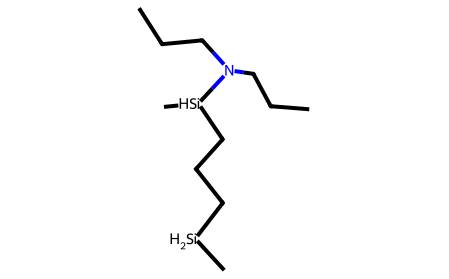 CCCN(CCC)[SiH](C)CCC[SiH2]C